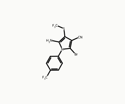 N#Cc1c(SC(F)(F)F)c(N)n(-c2ccc(C(F)(F)F)cc2)c1Br